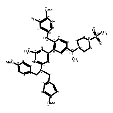 COc1ccc(CN(Cc2ccc(OC)cc2)c2cc(-c3cc([C@@H](C)N4CCN(S(C)(=O)=O)CC4)cnc3Nc3cnc(OC)c(F)c3)nc(C)n2)cc1